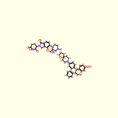 O=C1CC[C@@H](N2Cc3c(ccc4c3OC[C@@H]3CN(C[C@H]5COC6(CCN(c7ccc([C@H]8c9ccc(O)cc9OC[C@H]8c8ccccc8)cc7)CC6)C5)CCN43)C2=O)C(=O)N1